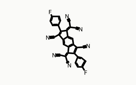 N#CC(C#N)=C1C(c2ccc(F)cc2)=C(C#N)c2cc3c(cc21)C(C#N)=C(c1ccc(F)cc1)C3=C(C#N)C#N